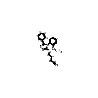 COc1ccccc1-n1c(SCCCC#N)nnc1-c1ccccc1